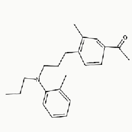 CCCN(CCCc1ccc(C(C)=O)cc1C)c1ccccc1C